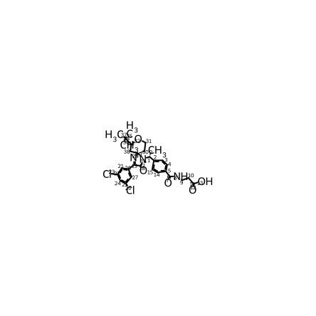 C[C@H](c1ccc(C(=O)NCCC(=O)O)cc1)N1C(=O)C(c2cc(Cl)cc(Cl)c2)=N[C@@]12CCOC(C(C)(C)C)C2